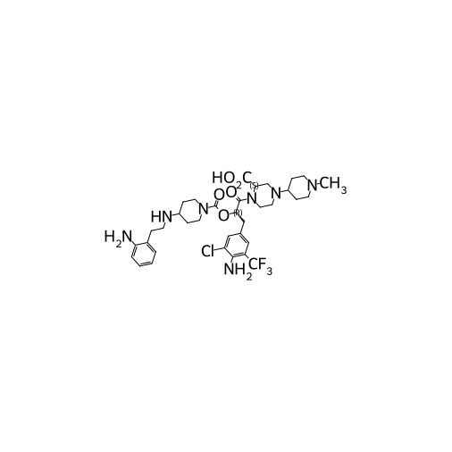 CN1CCC(N2CCN(C(=O)[C@@H](Cc3cc(Cl)c(N)c(C(F)(F)F)c3)OC(=O)N3CCC(NCCc4ccccc4N)CC3)[C@H](C(=O)O)C2)CC1